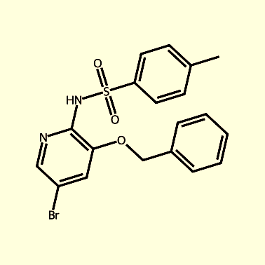 Cc1ccc(S(=O)(=O)Nc2ncc(Br)cc2OCc2ccccc2)cc1